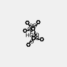 O=C(/C=C/c1cc(OCc2ccccc2)c(OCc2ccccc2)c(OCc2ccccc2)c1F)c1c(O)cc(OCc2ccccc2)cc1OCc1ccccc1